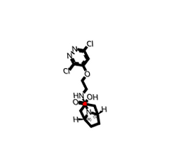 O=C(O)N1[C@@H]2CC[C@H]1C[C@H](NCCOc1cc(Cl)nnc1Cl)C2